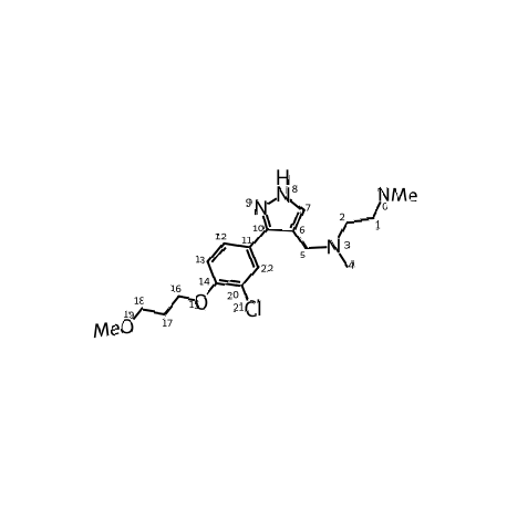 CNCCN(C)Cc1c[nH]nc1-c1ccc(OCCCOC)c(Cl)c1